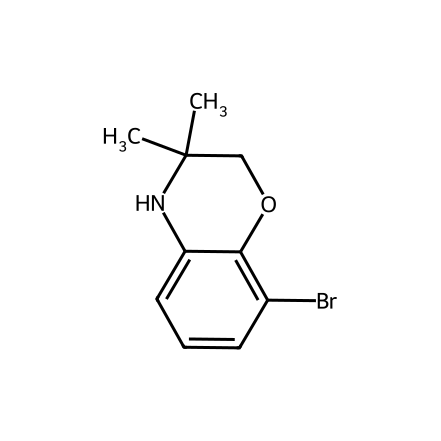 CC1(C)COc2c(Br)cccc2N1